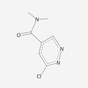 CN(C)C(=O)c1cnnc(Cl)c1